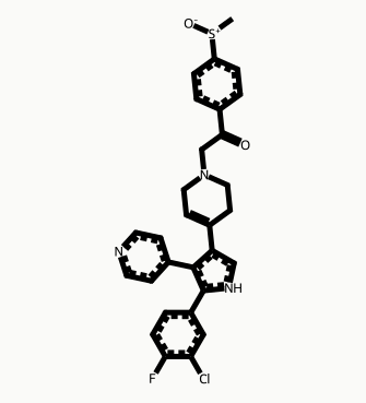 C[S+]([O-])c1ccc(C(=O)CN2CC=C(c3c[nH]c(-c4ccc(F)c(Cl)c4)c3-c3ccncc3)CC2)cc1